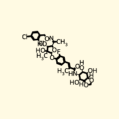 C/C(=N/OCc1ccc(Cl)cc1Cl)[C@H]1O[C@@H](Oc2ccc(/C=C(\C)C(=O)N[C@@H]3[C@H](O)[C@@H](O)[C@H]4OCO[C@H]4[C@@H]3O)cc2F)[C@@](C)(O)[C@@H]1O